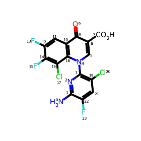 Nc1nc(-n2cc(C(=O)O)c(=O)c3cc(F)c(F)c(Cl)c32)c(Cl)cc1F